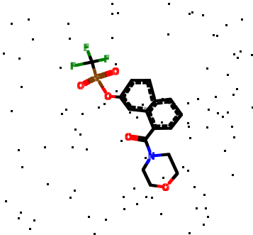 O=C(c1cccc2ccc(OS(=O)(=O)C(F)(F)F)cc12)N1CCOCC1